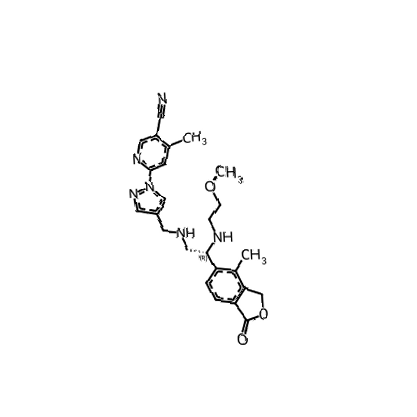 COCCN[C@@H](CNCc1cnn(-c2cc(C)c(C#N)cn2)c1)c1ccc2c(c1C)COC2=O